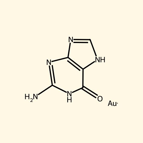 Nc1nc2nc[nH]c2c(=O)[nH]1.[Au]